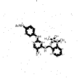 CC(=O)Nc1ccc(Nc2ncc(C(F)(F)F)c(NCc3ncccc3N(C)S(C)(=O)=O)n2)cc1